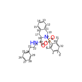 Cc1cc(C)c(S(=O)(=O)N2Cc3ccccc3CC2C(=O)NCCc2ccccc2)c(C)c1